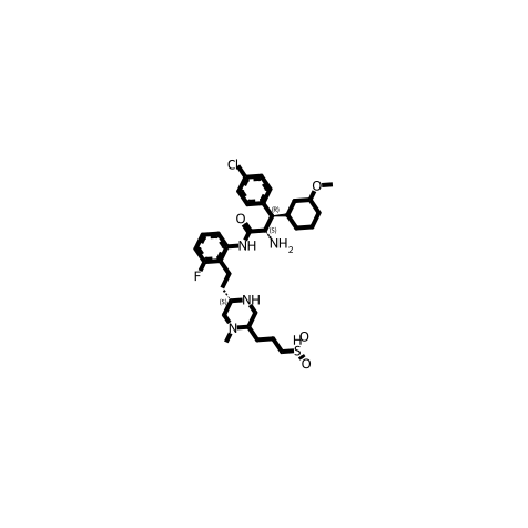 COC1CCCC([C@H](c2ccc(Cl)cc2)[C@H](N)C(=O)Nc2cccc(F)c2CC[C@H]2CN(C)C(CCC[SH](=O)=O)CN2)C1